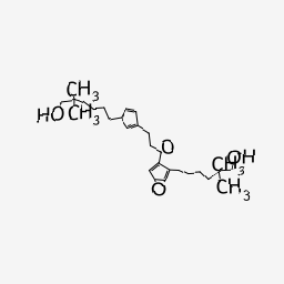 CC(C)(CO)CCCCC1=C2OC2C=C1C(=O)CCC1=CC(CCCCC(C)(C)CO)C=C1